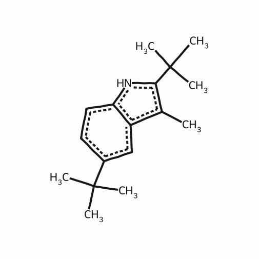 Cc1c(C(C)(C)C)[nH]c2ccc(C(C)(C)C)cc12